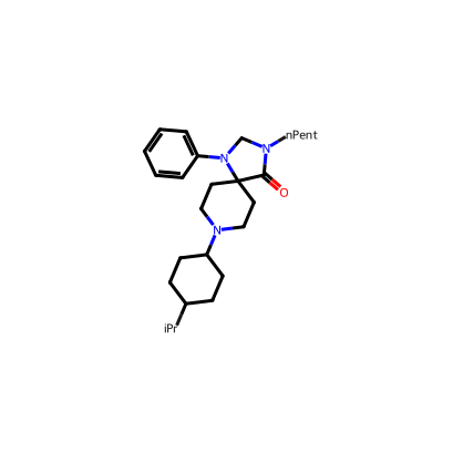 CCCCCN1CN(c2ccccc2)C2(CCN(C3CCC(C(C)C)CC3)CC2)C1=O